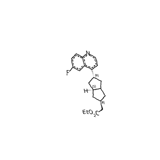 CCOC(=O)C[C@@H]1CC2C[C@@H](c3ccnc4ccc(F)cc34)C[C@@H]2C1